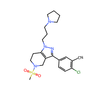 CS(=O)(=O)N1CCc2c(c(-c3ccc(Cl)c(C#N)c3)nn2CCCN2CCCC2)C1